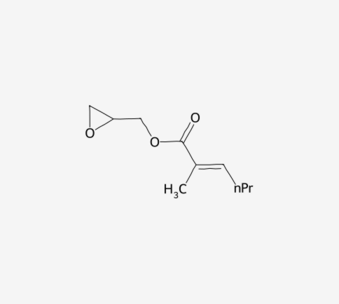 CCC/C=C(\C)C(=O)OCC1CO1